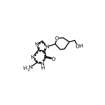 Nc1nc2ncn(C3CCC(CO)CO3)c2c(=O)[nH]1